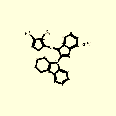 CC1=CC[C]([Zr+2][CH]2C(p3c4c(c5ccccc53)CCCC4)=Cc3ccccc32)=C1C.[Cl-].[Cl-]